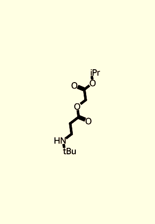 CC(C)OC(=O)COC(=O)CCNC(C)(C)C